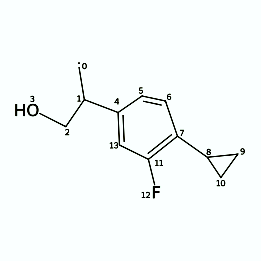 [CH2]C(CO)c1ccc(C2CC2)c(F)c1